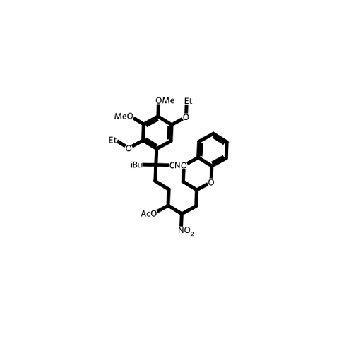 CCOc1cc(C(C#N)(CCC(OC(C)=O)C(CC2COc3ccccc3O2)[N+](=O)[O-])C(C)CC)c(OCC)c(OC)c1OC